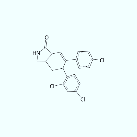 O=C1NCC2CC(c3ccc(Cl)cc3Cl)C(c3ccc(Cl)cc3)=CC12